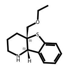 CCOC[C@]12CCCN[C@H]1c1ccccc1S2